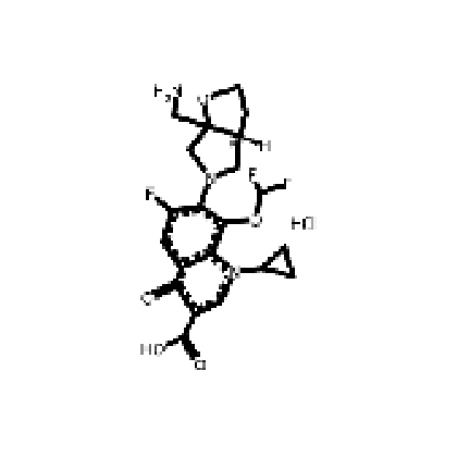 Cl.NCC12CN(c3c(F)cc4c(=O)c(C(=O)O)cn(C5CC5)c4c3OC(F)F)C[C@H]1CCO2